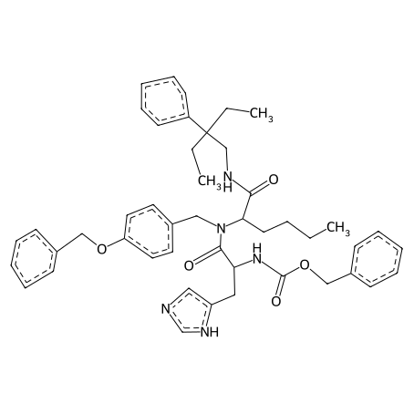 CCCCC(C(=O)NCC(CC)(CC)c1ccccc1)N(Cc1ccc(OCc2ccccc2)cc1)C(=O)C(Cc1cnc[nH]1)NC(=O)OCc1ccccc1